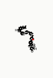 CC1(Oc2ccc3[nH]nc(-c4ccnc(N5CCN(CC6CCN(CC7CCN(c8ccc9c(c8)C(=O)N(C8CCC(=O)NC8=O)C9=O)CC7)CC6)CC5)c4)c3c2)CC1